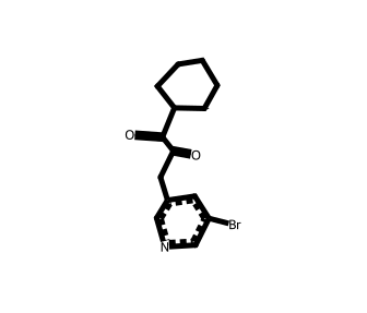 O=C(Cc1cncc(Br)c1)C(=O)C1[CH]CCCC1